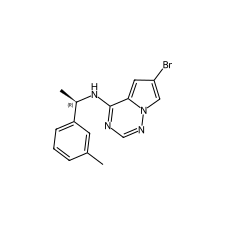 Cc1cccc([C@@H](C)Nc2ncnn3cc(Br)cc23)c1